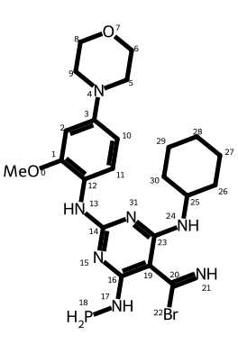 COc1cc(N2CCOCC2)ccc1Nc1nc(NP)c(C(=N)Br)c(NC2CCCCC2)n1